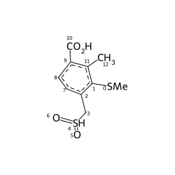 CSc1c(C[SH](=O)=O)ccc(C(=O)O)c1C